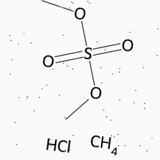 C.COS(=O)(=O)OC.Cl